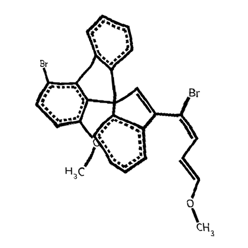 CO/C=C/C=C(/Br)C1=CC2(c3ccccc31)c1ccccc1-c1c(Br)ccc(OC)c12